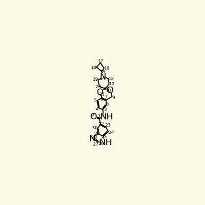 O=C(Nc1ccc2c(c1)COC1(CCN(C3CCC3)CC1)O2)c1ccc2[nH]cnc2c1